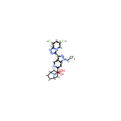 O=C(c1cc2c(cn1)c(-c1nnc3c(F)cc(F)cn13)nn2CC(F)(F)F)N1C2CCC1CC(O)C2